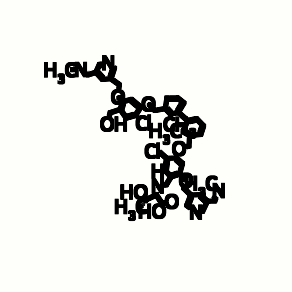 C/N=C\c1cncc(COc2cc(OCc3cccc(-c4cccc(COc5cc(OCc6cncc(/C=N/C)c6)c(CO)cc5Cl)c4C)c3C)c(Cl)cc2CN[C@@H](C(=O)O)[C@H](C)O)c1